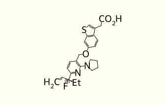 C=C[C@](F)(CC)c1ccc(COc2ccc3c(CC(=O)O)csc3c2)c(N2CCCC2)n1